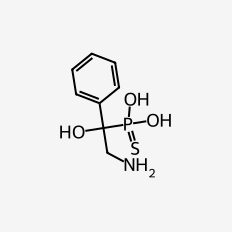 NCC(O)(c1ccccc1)P(O)(O)=S